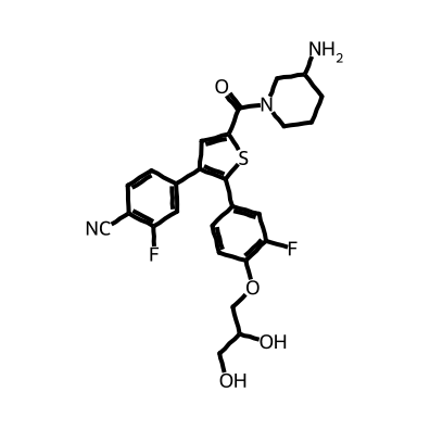 N#Cc1ccc(-c2cc(C(=O)N3CCCC(N)C3)sc2-c2ccc(OCC(O)CO)c(F)c2)cc1F